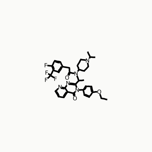 CCOc1ccc(-n2c(C(C)N(C(=O)Cc3ccc(F)c(C(F)(F)F)c3)C3CCN(C(C)C)CC3)nc3ncccc3c2=O)cc1